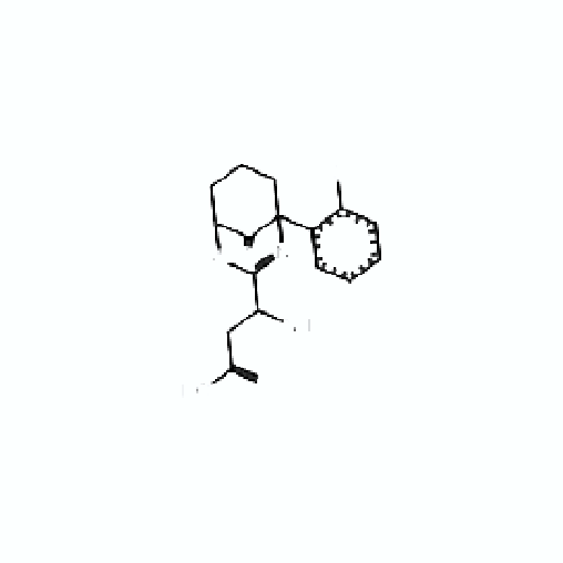 NC(CC(=O)O)C1=NC2(c3ccccc3Cl)CCCC(O1)C2=O